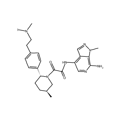 C[C@H]1CC[C@H](c2ccc(CCN(C)I)cc2)N(C(=O)C(=O)Nc2cnc(N)c3c2cnn3C)C1